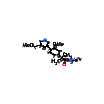 COCc1cncc(-c2ccc(C(C)(C)C(=O)NCC(C)C)cc2OC)c1